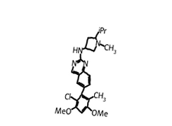 COc1cc(OC)c(Cl)c(-c2ccc3nc(NC4CC(C(C)C)N(C)C4)ncc3c2)c1C